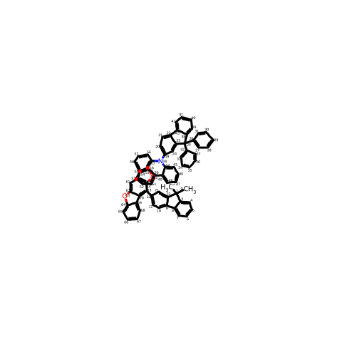 CC1(C)c2ccccc2-c2ccc(-c3c4oc5c(N(c6ccc7c(c6)C(c6ccccc6)(c6ccccc6)c6ccccc6-7)c6ccccc6-c6ccccc6)cccc5c4cc4oc5ccccc5c34)cc21